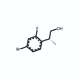 C[C@@H](CO)c1ccc(Br)cc1F